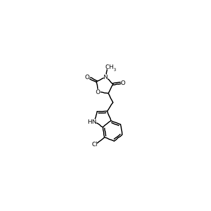 CN1C(=O)OC(Cc2c[nH]c3c(Cl)cccc23)C1=O